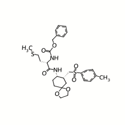 CSCC[C@H](NC(=O)OCc1ccccc1)C(=O)N[C@H]1CCC2(C[C@H]1CS(=O)(=O)c1ccc(C)cc1)OCCO2